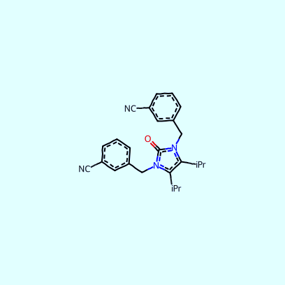 CC(C)c1c(C(C)C)n(Cc2cccc(C#N)c2)c(=O)n1Cc1cccc(C#N)c1